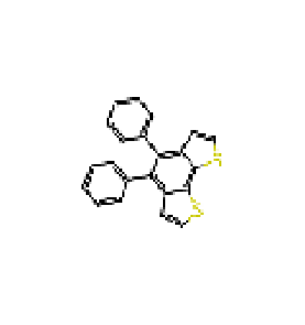 c1ccc(-c2c(-c3ccccc3)c3ccsc3c3sccc23)cc1